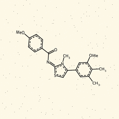 COc1ccc(C(=O)/N=c2/scc(-c3cc(C)c(C)c(OC)c3)n2C)cc1